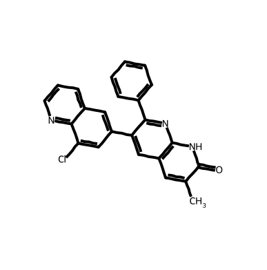 Cc1cc2cc(-c3cc(Cl)c4ncccc4c3)c(-c3ccccc3)nc2[nH]c1=O